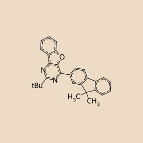 CC(C)(C)c1nc(-c2ccc3c(c2)C(C)(C)c2ccccc2-3)c2oc3ccccc3c2n1